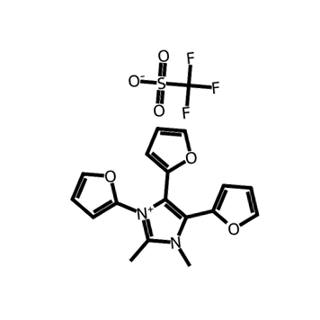 Cc1n(C)c(-c2ccco2)c(-c2ccco2)[n+]1-c1ccco1.O=S(=O)([O-])C(F)(F)F